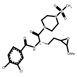 COC1OC1CC[C@H](NC(=O)c1ccc(Cl)c(Cl)c1)C(=O)N1CCN(S(C)(=O)=O)CC1